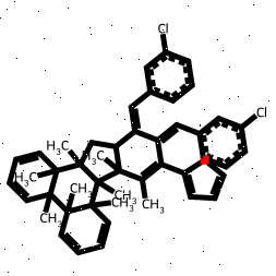 CC1=C(C2=CC=CC2)C(=Cc2cccc(Cl)c2)C(=Cc2cccc(Cl)c2)C2[C]C3(C)C4(C)C=CC=CC4(C)C4(C)C=CC=CC4(C)C3(C)C12C